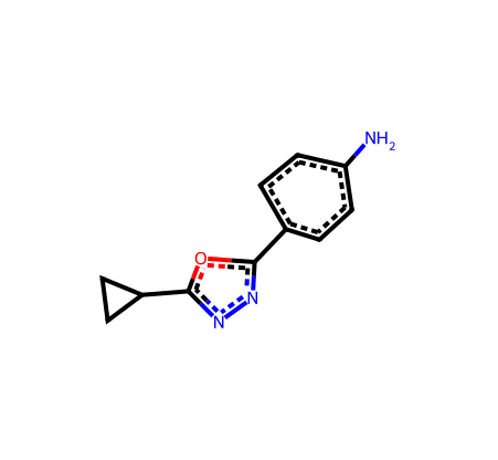 Nc1ccc(-c2nnc(C3CC3)o2)cc1